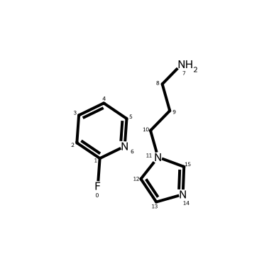 Fc1ccccn1.NCCCn1ccnc1